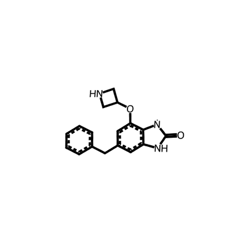 O=C1[N]c2c(cc(Cc3ccccc3)cc2OC2CNC2)N1